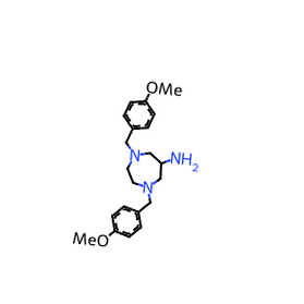 COc1ccc(CN2CCN(Cc3ccc(OC)cc3)CC(N)C2)cc1